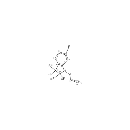 C=CCC1c2cc(F)ccc2C(F)(F)C1(F)F